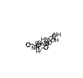 N[C@@H](Cc1ccccc1)C(=O)N[C@@H](Cc1ccccc1)C(=O)NCC(=O)N[C@@H](Cc1c[nH]cn1)C(=O)O